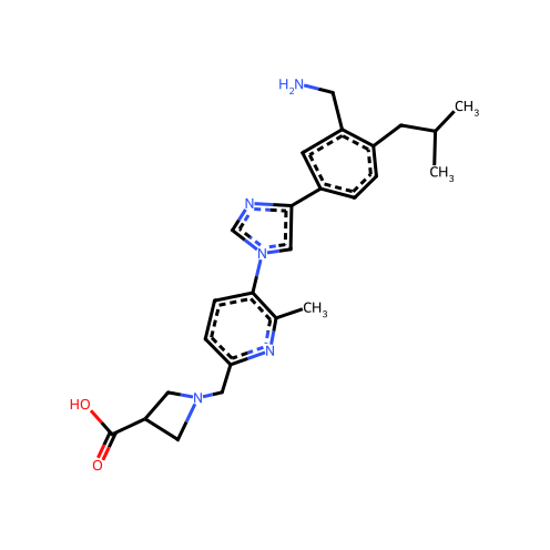 Cc1nc(CN2CC(C(=O)O)C2)ccc1-n1cnc(-c2ccc(CC(C)C)c(CN)c2)c1